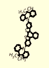 CC1(C)c2ccccc2N(c2ccc3c(c2)sc2c4sc5cc(N6c7ccccc7C(C)(C)c7ccccc76)ccc5c4c4ccccc4c32)c2ccccc21